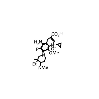 CCC1(C)CN(c2c(F)c(N)c3c(c2OC)[N+]([O-])(C2CC2)C=C(C(=O)O)C3)CCC1NC